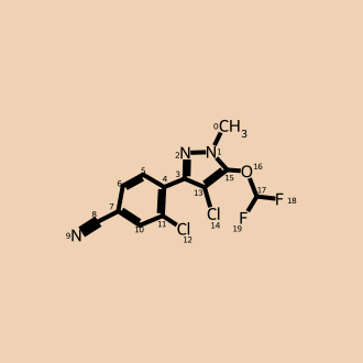 Cn1nc(-c2ccc(C#N)cc2Cl)c(Cl)c1OC(F)F